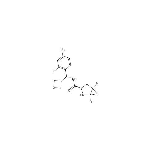 O=C(N[C@@H](c1ccc(C(F)(F)F)cc1F)C1COC1)[C@H]1C[C@H]2C[C@H]2N1